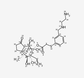 C=C[C@]1(C)C[C@@H](OC(=O)CSc2cccc(CNCCN)c2)[C@]2(C)C(C)CCC3(CCC(=O)C32)[C@@H](C)[C@@H]1O